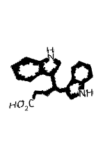 O=C(O)CCC(c1c[nH]c2ccccc12)c1c[nH]c2ccccc12